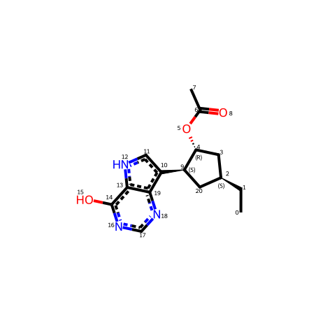 CC[C@@H]1C[C@@H](OC(C)=O)[C@H](c2c[nH]c3c(O)ncnc23)C1